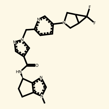 Cn1cnc2c1CC[C@H]2NC(=O)c1cnn(Cc2ccc(N3CC4C(C3)C4(F)F)cn2)c1